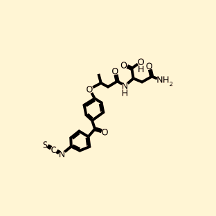 CC(CC(=O)NC(CC(N)=O)C(=O)O)Oc1ccc(C(=O)c2ccc(N=C=S)cc2)cc1